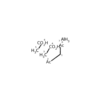 CC(=O)CC(C)=O.CC(=O)O.CC(=O)O.[AlH3]